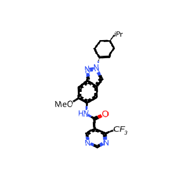 COc1cc2nn([C@H]3CC[C@H](C(C)C)CC3)cc2cc1NC(=O)c1cncnc1C(F)(F)F